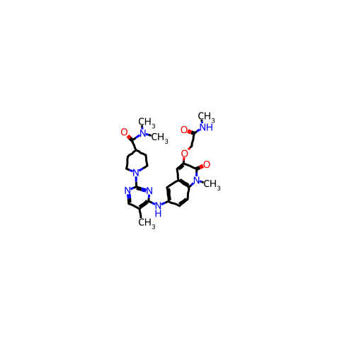 CNC(=O)COc1cc2cc(Nc3nc(N4CCC(C(=O)N(C)C)CC4)ncc3C)ccc2n(C)c1=O